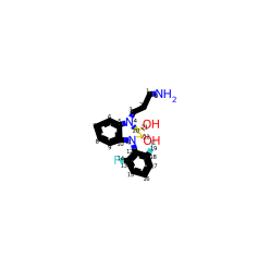 NCCCN1c2ccccc2N(c2c(F)cccc2F)S1(O)O